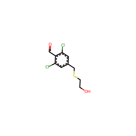 O=Cc1c(Cl)cc(CSCCO)cc1Cl